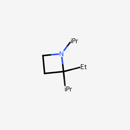 CCC1(C(C)C)CCN1C(C)C